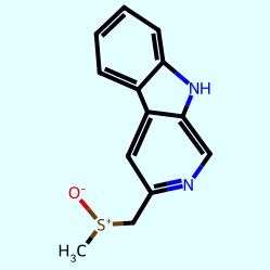 C[S+]([O-])Cc1cc2c(cn1)[nH]c1ccccc12